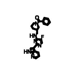 O=C(c1ccccc1)N1CCCC(CNc2nc(-c3c[nH]c4ncccc34)ncc2F)C1